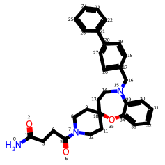 NC(=O)CCC(=O)N1CCC2(CC1)CCN(Cc1ccc(-c3ccccc3)cc1)c1ccccc1O2